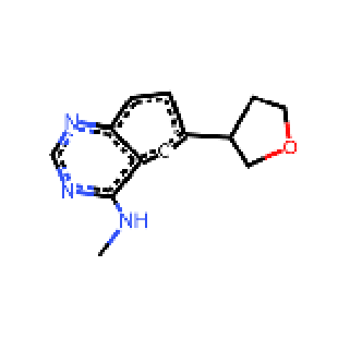 CNc1ncnc2ccc(C3CCOC3)cc12